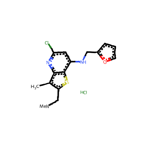 CNCc1sc2c(NCc3ccco3)cc(Cl)nc2c1C.Cl